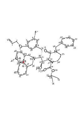 C=CCOc1cc(F)cc(C[C@H]([C@H](O)[C@H]2C(=O)N(Cc3ccccc3)CCN2C(=O)OC(C)(C)C)N(Cc2ccccc2)Cc2ccccc2)c1